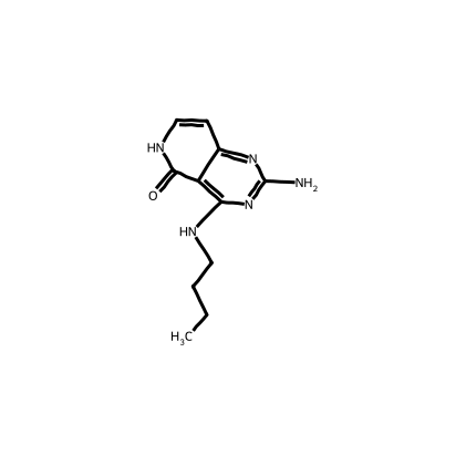 CCCCNc1nc(N)nc2cc[nH]c(=O)c12